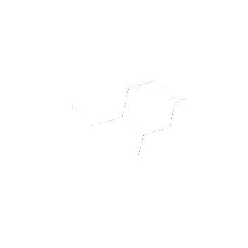 CC(C)(C)OC1CCNCC1F